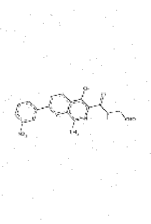 Cc1nc(C(=O)NCC=O)c(O)c2ccc(-c3cccc([N+](=O)[O-])c3)nc12